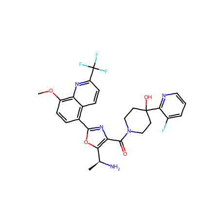 COc1ccc(-c2nc(C(=O)N3CCC(O)(c4ncccc4F)CC3)c([C@H](C)N)o2)c2ccc(C(F)(F)F)nc12